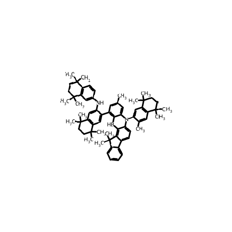 Cc1cc(-c2cc3c(cc2Nc2ccc4c(c2)C(C)(C)CCC4(C)C)C(C)(C)CCC3(C)C)c2c(c1)N(c1cc3c(cc1C)C(C)(C)CCC3(C)C)c1ccc3c(c1B2)C(C)(C)c1ccccc1-3